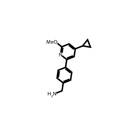 COc1cc(C2CC2)cc(-c2ccc(CN)cc2)n1